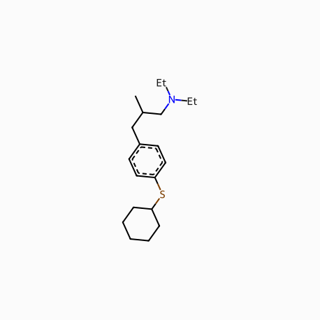 CCN(CC)CC(C)Cc1ccc(SC2CCCCC2)cc1